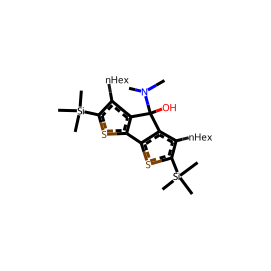 CCCCCCc1c([Si](C)(C)C)sc2c1C(O)(N(C)C)c1c-2sc([Si](C)(C)C)c1CCCCCC